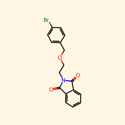 O=C1c2ccccc2C(=O)N1CCOCc1ccc(Br)cc1